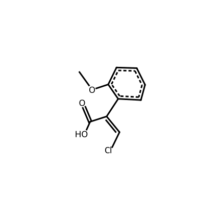 COc1ccccc1C(=CCl)C(=O)O